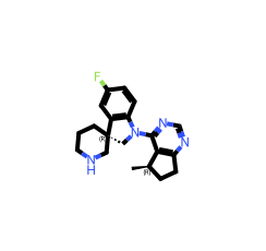 C[C@@H]1CCc2ncnc(N3C[C@]4(CCCNC4)c4cc(F)ccc43)c21